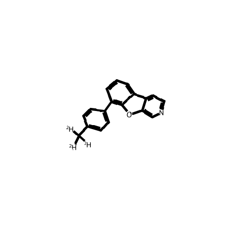 [2H]C([2H])([2H])c1ccc(-c2cccc3c2oc2cnccc23)cc1